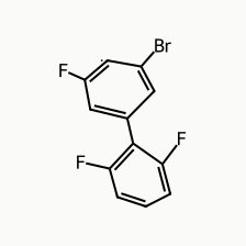 Fc1[c]c(Br)cc(-c2c(F)cccc2F)c1